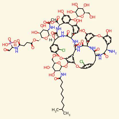 CC(=O)N[C@H]1[C@H](O[C@@H]2c3ccc(c(Cl)c3)Oc3cc4cc(c3O[C@@H]3O[C@H](CO)[C@@H](O)[C@H](O)[C@H]3NC(=O)CCCCCCCC(C)C)Oc3ccc(cc3Cl)C[C@H]3NC(=O)[C@H](N)c5ccc(O)c(c5)Oc5cc(O)cc(c5)[C@H](NC3=O)C(=O)N[C@H]4C(=O)N[C@H]3C(=O)N[C@@H]2C(=O)N[C@@H](C(=O)O)c2cc(O)cc(O[C@H]4O[C@H](CO)[C@@H](O)[C@H](O)[C@@H]4O)c2-c2cc3ccc2O)O[C@H](COC(=O)CCC(=O)NC(C=O)P(=O)(O)O)[C@@H](O)[C@@H]1O